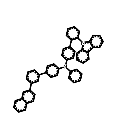 c1ccc(N(c2ccc(-c3cccc(-c4ccc5ccccc5c4)c3)cc2)c2ccc(-c3ccccc3-n3c4ccccc4c4ccccc43)cc2)cc1